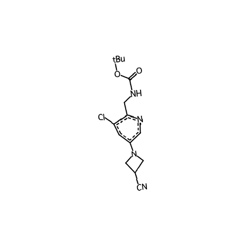 CC(C)(C)OC(=O)NCc1ncc(N2CC(C#N)C2)cc1Cl